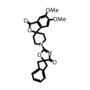 COc1cc2c(cc1OC)C1(CCN(C3=NC(=O)C4(Cc5ccccc5C4)O3)CC1)OC2=O